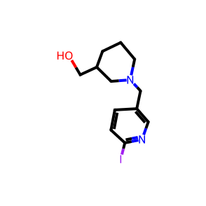 OCC1CCCN(Cc2ccc(I)nc2)C1